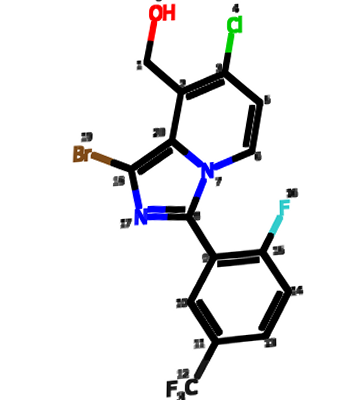 OCc1c(Cl)ccn2c(-c3cc(C(F)(F)F)ccc3F)nc(Br)c12